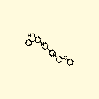 Oc1ccc(-[n+]2ccc(-c3cc[n+](-c4cccc(Oc5ccccc5)c4)cc3)cc2)cc1-c1ccccc1